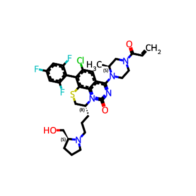 C=CC(=O)N1CCN(c2nc(=O)n3c4c(c(-c5c(F)cc(F)cc5F)c(Cl)cc24)SC[C@H]3CCCN2CCC[C@H]2CO)[C@@H](C)C1